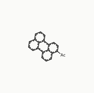 CC(=O)c1ccc2c3cccc4cccc(c5cccc1c52)c43